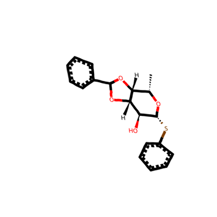 C[C@@H]1O[C@H](Sc2ccccc2)[C@@H](O)[C@@H]2OC(c3ccccc3)O[C@@H]21